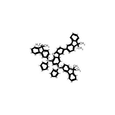 CC1(C)c2ccccc2-c2cc(-c3ccc4oc5c(N(c6ccccc6)c6ccc7c(c6)-c6ccccc6C7(C)C)cc(N(c6ccccc6)c6ccc7c(c6)-c6ccccc6C7(C)C)cc5c4c3)ccc21